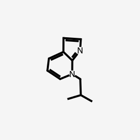 CC(C)Cn1cccc2ccnc1-2